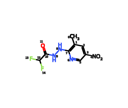 Cc1cc([N+](=O)[O-])cnc1NNC(=O)C(F)F